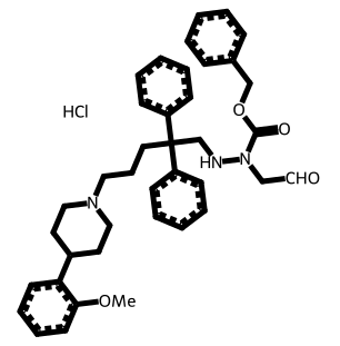 COc1ccccc1C1CCN(CCCC(CNN(CC=O)C(=O)OCc2ccccc2)(c2ccccc2)c2ccccc2)CC1.Cl